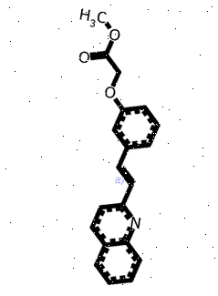 COC(=O)COc1cccc(/C=C/c2ccc3ccccc3n2)c1